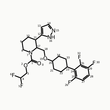 O=C(OCC(F)F)N1CCCC(c2ccn[nH]2)C1COC1CCC(c2c(F)ccc(F)c2F)CC1